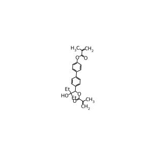 C=C(C)C(=O)Oc1ccc(-c2ccc(C(OC(=O)C(=C)C)C(O)(CC)CC)cc2)cc1